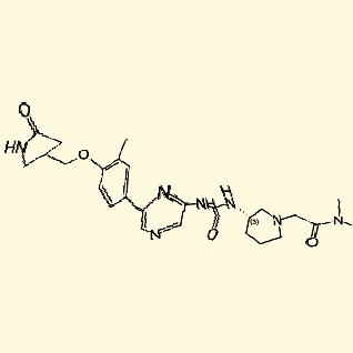 Cc1cc(-c2cncc(NC(=O)N[C@H]3CCCN(CC(=O)N(C)C)C3)n2)ccc1OCC1CNC(=O)C1